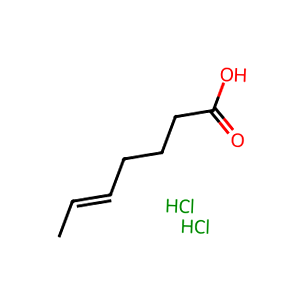 CC=CCCCC(=O)O.Cl.Cl